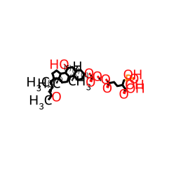 CC(=O)CC[C@@H](C)C1CCC2C3C(CC[C@@]21C)[C@@]1(C)CC[C@@H](OC(=O)OCOC(=O)CCC(CP(=O)(O)O)C(=O)O)C[C@H]1C[C@@H]3O